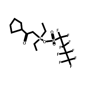 CCS(CC)(CC(=O)C1CCCC1)OS(=O)(=O)C(F)(F)C(F)(F)C(F)(F)C(F)(F)F